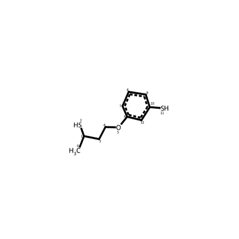 CC(S)CCOc1cccc(S)c1